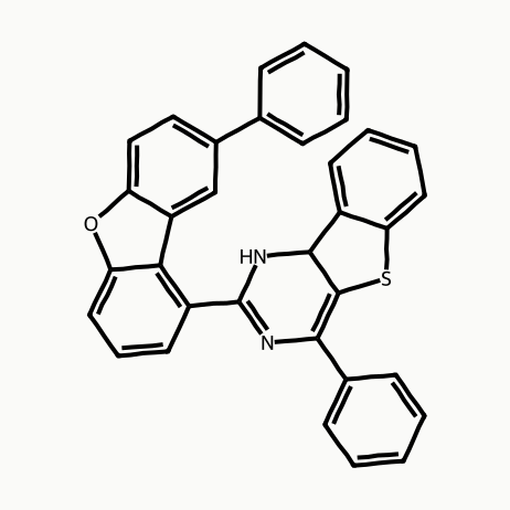 c1ccc(C2=C3Sc4ccccc4C3NC(c3cccc4oc5ccc(-c6ccccc6)cc5c34)=N2)cc1